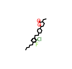 CCCCCc1ccc(CCC2CCC(C3CCC(CC)C(=O)O3)CC2)c(Cl)c1F